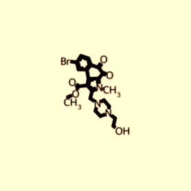 CCOC(=O)c1c2c(n(C)c1CN1CCN(CCO)CC1)C(=O)C(=O)c1ccc(Br)cc1-2